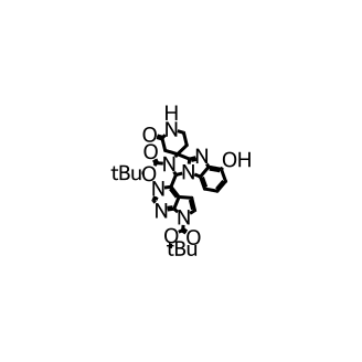 CC(C)(C)OC(=O)N1C(c2ncnc3c2ccn3C(=O)OC(C)(C)C)n2c(nc3c(O)cccc32)C12CCNC(=O)C2